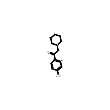 N#Cc1ccc(C(=O)CN2C[CH]CCC2)cc1